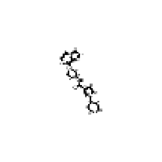 O=C(N[C@@H]1CCN(c2nccn3ccnc23)C1)c1ccn(C2CCOCC2)n1